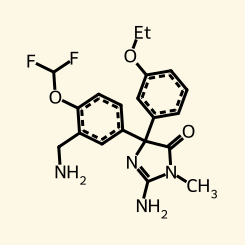 CCOc1cccc(C2(c3ccc(OC(F)F)c(CN)c3)N=C(N)N(C)C2=O)c1